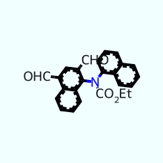 CCOC(=O)N(c1cccc2ccccc12)c1c(C=O)cc(C=O)c2ccccc12